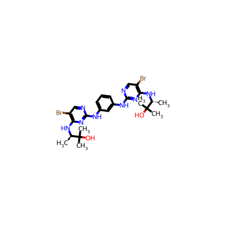 C[C@@H](Nc1nc(Nc2cccc(Nc3ncc(Br)c(N[C@H](C)C(C)(C)O)n3)c2)ncc1Br)C(C)(C)O